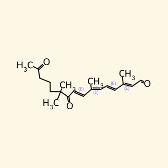 CC(=O)CCCC(C)(C)C(=O)/C=C/C(C)=C/C=C/C(C)=C/C=O